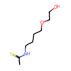 CC(=S)NCCCCOCCO